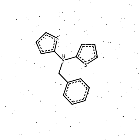 c1ccc(C[SH](c2cccs2)c2cccs2)cc1